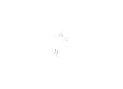 c1ccc(-c2nc3cccc4c5ccc(-c6cccc(-c7cccc(N8c9ccccc9-c9c(n(-c%10ccccc%10)c%10ccccc9%10)-c9ccccc98)c7)c6)cc5c2n34)cc1